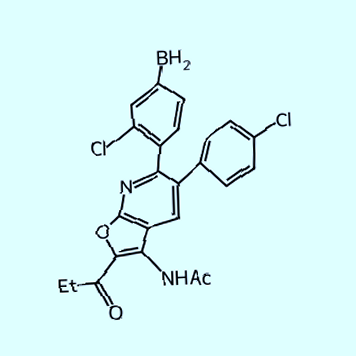 Bc1ccc(-c2nc3oc(C(=O)CC)c(NC(C)=O)c3cc2-c2ccc(Cl)cc2)c(Cl)c1